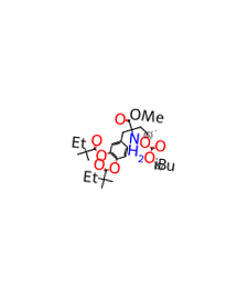 CC[C@H](C)OC(=O)O[C@@H](C)CC(N)(Cc1ccc(OC(=O)C(C)(C)CC)c(OC(=O)C(C)(C)CC)c1)C(=O)OC